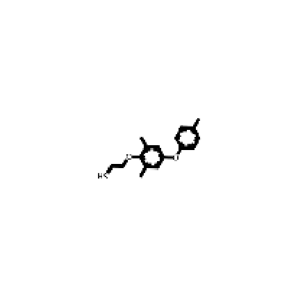 Cc1ccc(Oc2cc(C)c(OCCS)c(C)c2)cc1